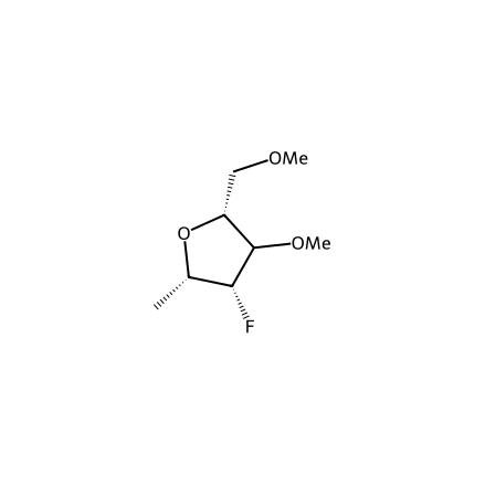 COC[C@H]1O[C@@H](C)[C@@H](F)C1OC